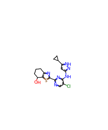 OC1CCCc2nc(-c3ncc(Cl)c(Nc4cc(C5CC5)[nH]n4)n3)sc21